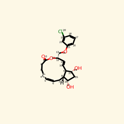 O=C1CCC/C=C\C[C@@H]2C(/C=C/[C@@H](COc3cccc(Cl)c3)O1)[C@H](O)C[C@@H]2O